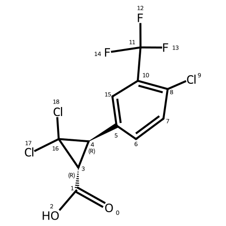 O=C(O)[C@H]1[C@H](c2ccc(Cl)c(C(F)(F)F)c2)C1(Cl)Cl